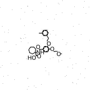 COCCOc1ccc(C(=O)NC2(C(=O)O)CCCCCC2)cc1OCCc1cccc(C)c1